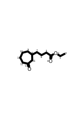 CCOC(=O)CCCC1CCCCC(=O)C1